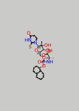 COC(=O)[C@H](C)N[P@@](=O)(OC[C@H]1O[C@@H](n2ccc(=O)[nH]c2=S)[C@](C)(O)C1O)Oc1cccc2ccccc12